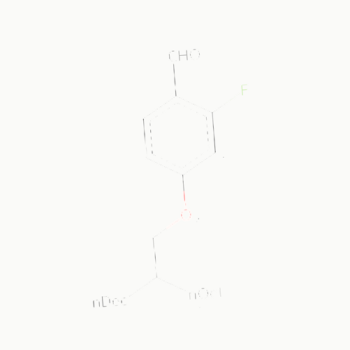 CCCCCCCCCCC(CCCCCCCC)COc1ccc(C=O)c(F)c1